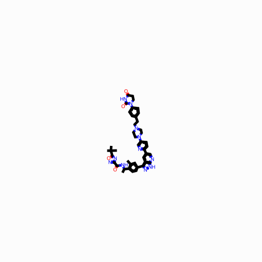 Cc1cc(-c2n[nH]c3ncc(-c4ccc(N5CCN(CCc6ccc(N7CCC(=O)NC7=O)cc6)CC5)cn4)cc23)ccc1C(C)NC(=O)c1noc(C(C)(C)C)n1